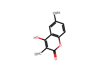 COc1ccc2oc(=O)c(C=O)c(O)c2c1